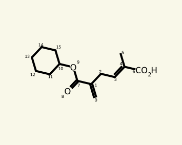 C=C(CC=C(C)C(=O)O)C(=O)OC1CCCCC1